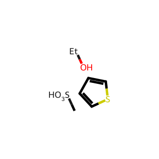 CCO.CS(=O)(=O)O.c1ccsc1